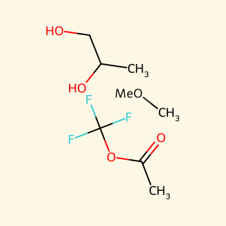 CC(=O)OC(F)(F)F.CC(O)CO.COC